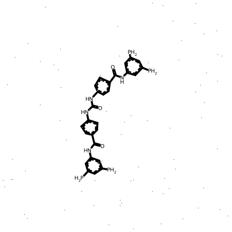 O=C(Nc1ccc(C(=O)Nc2cc(P)cc(P)c2)cc1)Nc1ccc(C(=O)Nc2cc(P)cc(P)c2)cc1